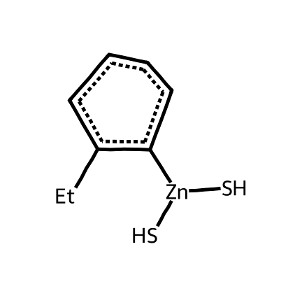 CCc1cccc[c]1[Zn]([SH])[SH]